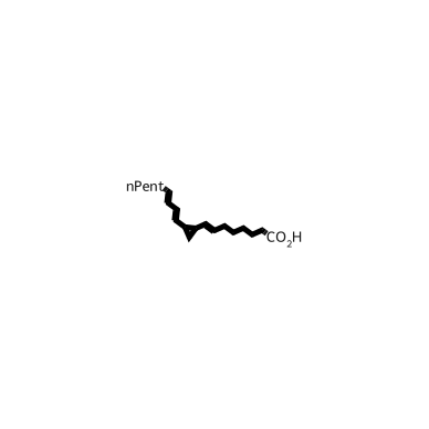 CCCCC/C=C/C=C/C1CC1/C=C/CCCCCC(=O)O